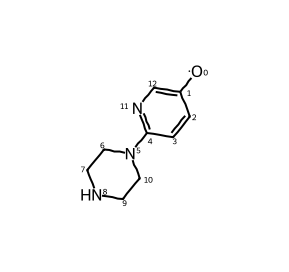 [O]c1ccc(N2CCNCC2)nc1